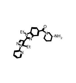 CCc1c(-c2nc3cc(C(=O)N4CCC[C@@H](N)C4)ccc3n2CC)cnn1-c1ccccn1